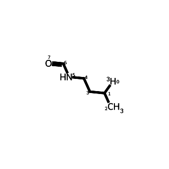 [3H]C(C)CCN[C]=O